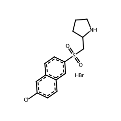 Br.O=S(=O)(CC1CCCN1)c1ccc2cc(Cl)ccc2c1